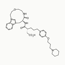 O=C(O)C[C@@H](CCCc1ccc(OCCCN2CCCCC2)cc1)C(=O)N[C@H]1Cc2cn(c3ccccc23)CCOCCNC1=O